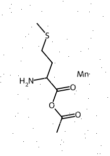 CSCCC(N)C(=O)OC(C)=O.[Mn]